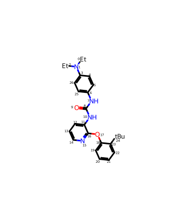 CCN(CC)c1ccc(NC(=O)Nc2cccnc2Oc2ccccc2C(C)(C)C)cc1